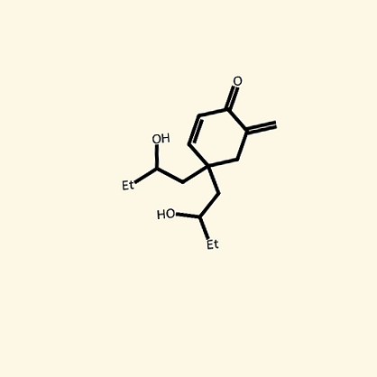 C=C1CC(CC(O)CC)(CC(O)CC)C=CC1=O